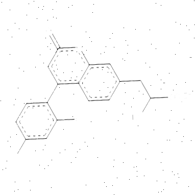 CCOC(=O)C(C)Cc1ccc2c(-c3ccc(F)cc3Cl)cc(=O)oc2c1